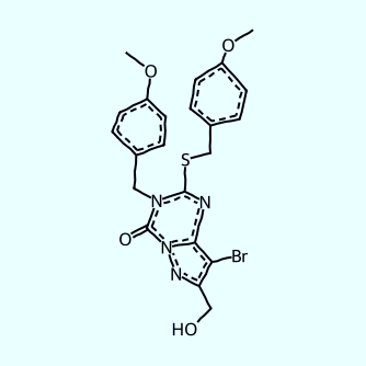 COc1ccc(CSc2nc3c(Br)c(CO)nn3c(=O)n2Cc2ccc(OC)cc2)cc1